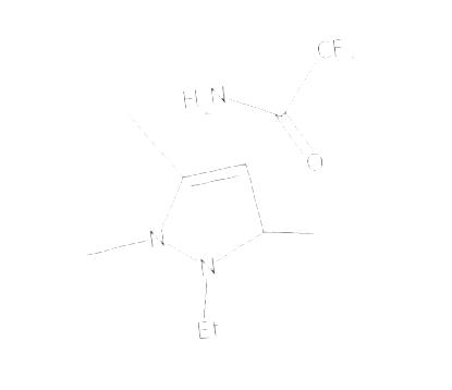 CCN1C(C)C=C(C)N1C.NC(=O)C(F)(F)F